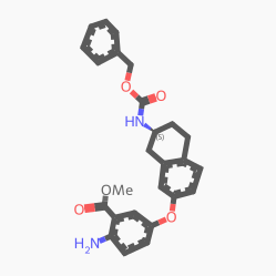 COC(=O)c1cc(Oc2ccc3c(c2)C[C@@H](NC(=O)OCc2ccccc2)CC3)ccc1N